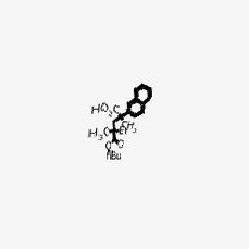 CCCCOC(=O)C(C)(CC)CC(C)(C(=O)O)c1ccc2ccccc2c1